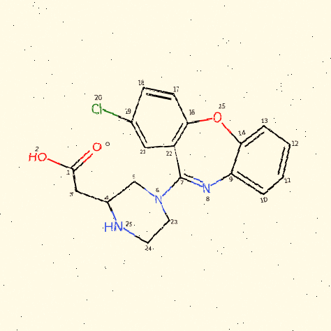 O=C(O)CC1CN(C2=Nc3ccccc3Oc3ccc(Cl)cc32)CCN1